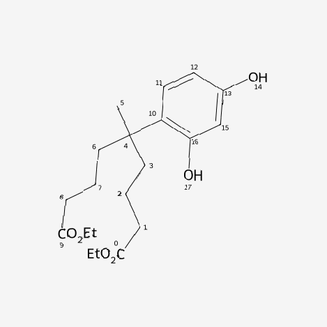 CCOC(=O)CCCC(C)(CCCC(=O)OCC)c1ccc(O)cc1O